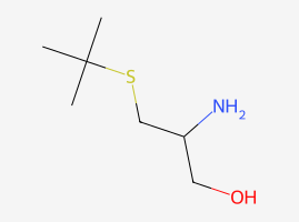 CC(C)(C)SCC(N)CO